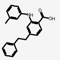 Cc1cccc(Nc2cc(CCc3ccccc3)ccc2C(=O)O)c1